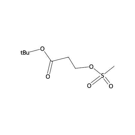 CC(C)(C)OC(=O)CCOS(C)(=O)=O